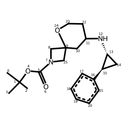 CC(C)(C)OC(=O)N1CC2(CC(N[C@@H]3C[C@H]3c3ccccc3)CCO2)C1